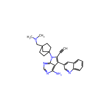 C#Cc1c(-c2cnc3ccccc3c2)c2c(N)ncnc2n1C12CCC(CN(C)C)(CC1)C2